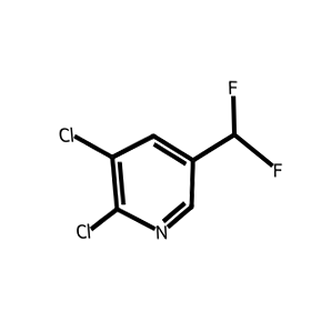 FC(F)c1cnc(Cl)c(Cl)c1